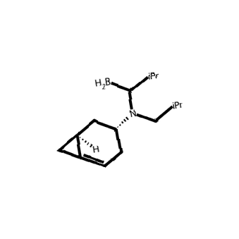 BC(C(C)C)N(CC(C)C)[C@@H]1CC=C2C[C@H]2C1